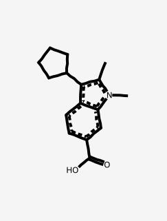 Cc1c(C2CCCC2)c2ccc(C(=O)O)cc2n1C